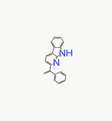 C=C(c1ccccc1)c1ccc2c(n1)[nH]c1ccccc12